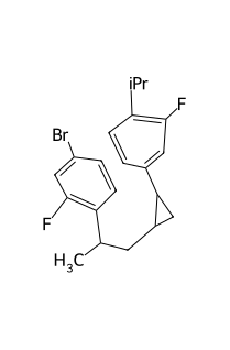 CC(C)c1ccc(C2CC2CC(C)c2ccc(Br)cc2F)cc1F